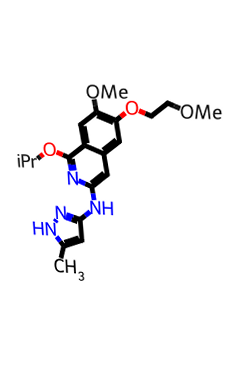 COCCOc1cc2cc(Nc3cc(C)[nH]n3)nc(OC(C)C)c2cc1OC